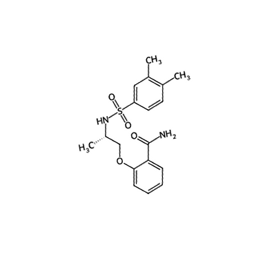 Cc1ccc(S(=O)(=O)N[C@@H](C)COc2ccccc2C(N)=O)cc1C